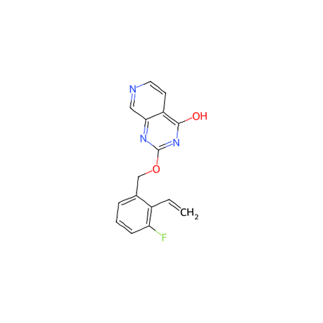 C=Cc1c(F)cccc1COc1nc(O)c2ccncc2n1